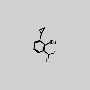 CCC(C)c1c(C(F)F)cccc1C1CC1